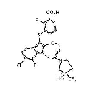 Cc1c(Sc2cccc(C(=O)O)c2F)c2ccc(Cl)c(F)c2n1CC(=O)N1CC[C@@](O)(C(F)(F)F)C1